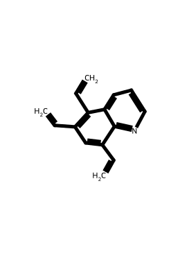 C=Cc1cc(C=C)c2ncccc2c1C=C